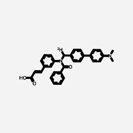 [2H]C(c1ccc(-c2ccc(N(C)C)cc2)cc1)N(C(=O)c1ccccc1)c1cccc(/C=C/C(=O)O)c1